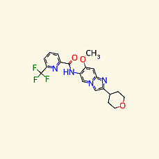 COc1cc2nc(C3CCOCC3)cn2cc1NC(=O)c1cccc(C(F)(F)F)n1